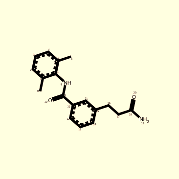 Cc1cccc(C)c1NC(=O)c1cccc(CCC(N)=O)c1